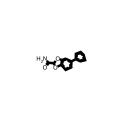 NC(=O)C1Oc2c[c]c(-c3ccccc3)cc2O1